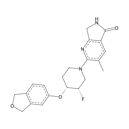 Cc1cc2c(nc1N1CC[C@@H](Oc3ccc4c(c3)COC4)[C@@H](F)C1)CNC2=O